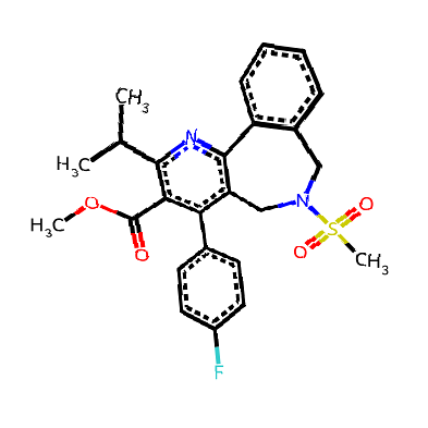 COC(=O)c1c(C(C)C)nc2c(c1-c1ccc(F)cc1)CN(S(C)(=O)=O)Cc1ccccc1-2